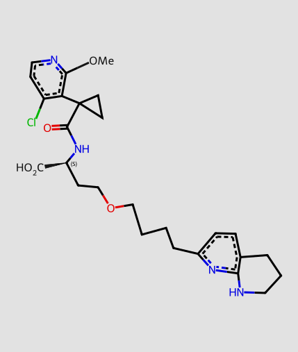 COc1nccc(Cl)c1C1(C(=O)N[C@@H](CCOCCCCc2ccc3c(n2)NCCC3)C(=O)O)CC1